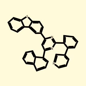 c1cncc(-c2ccccc2-c2nc(-c3ccc4sc5ccccc5c4c3)cc(-c3cccc4ccccc34)n2)c1